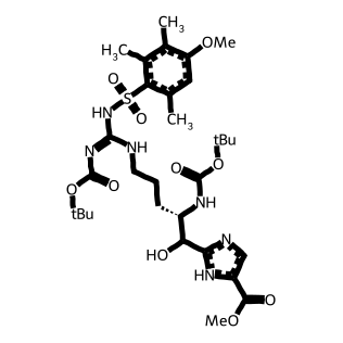 COC(=O)c1cnc(C(O)[C@H](CCCN/C(=N\C(=O)OC(C)(C)C)NS(=O)(=O)c2c(C)cc(OC)c(C)c2C)NC(=O)OC(C)(C)C)[nH]1